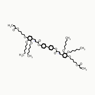 C=CC(=O)OCCCCOc1ccc(/C=C/C(=O)Oc2ccc(-c3ccc(OC(=O)/C=C/c4ccc(OCCCCOC(=O)C=C)c(OCCCCCC)c4OCCCCCC)cc3)cc2)c(OCCCCCC)c1OCCCCCC